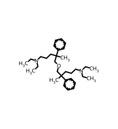 CCN(CC)CCCC(C)(COCC(C)(CCCN(CC)CC)c1ccccc1)c1ccccc1